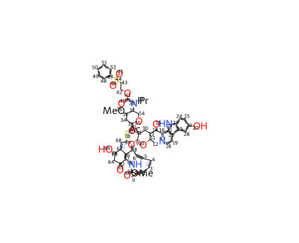 CC#C/C=C\C#C[C@H](OC1OC(C)C(C(=O)c2nccc3c2[nH]c2ccc(O)cc23)CC1OC1CC(OC)C(N(C(=O)OCCS(=O)(=O)c2ccccc2)C(C)C)CO1)C1=C(NC(=O)OC)C(=O)C[C@H](O)/C1=C/CSC(C)=O